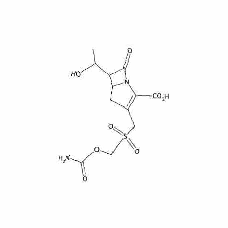 CC(O)C1C(=O)N2C(C(=O)O)=C(CS(=O)(=O)COC(N)=O)CC12